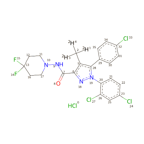 Cl.[2H]C([2H])([2H])c1c(C(=O)NN2CCC(F)(F)CC2)nn(-c2ccc(Cl)cc2Cl)c1-c1ccc(Cl)cc1